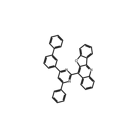 c1ccc(-c2cccc(-c3cc(-c4ccccc4)nc(-c4c5ccccc5nc5c4oc4ccccc45)n3)c2)cc1